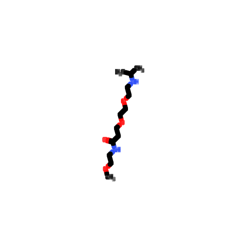 COCCNC(=O)CCOCCOCCNC(C)C